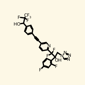 OC(c1ccc(C#Cc2ccc(C(F)(F)C(O)(Cn3cnnn3)c3ccc(F)cc3F)nc2)cc1)C(F)(F)C(F)(F)F